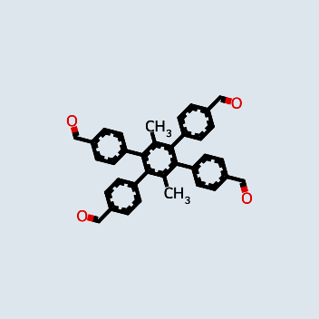 Cc1c(-c2ccc(C=O)cc2)c(-c2ccc(C=O)cc2)c(C)c(-c2ccc(C=O)cc2)c1-c1ccc(C=O)cc1